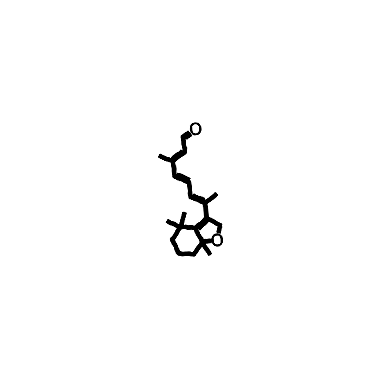 CC(C=CC=C(C)C1=C2C(C)(C)CCCC2(C)OC1)=CC=O